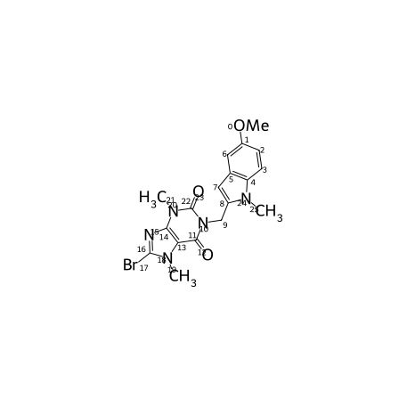 COc1ccc2c(c1)cc(Cn1c(=O)c3c(nc(Br)n3C)n(C)c1=O)n2C